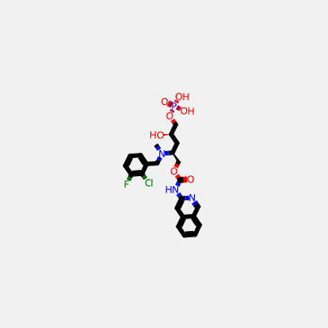 CN(Cc1cccc(F)c1Cl)[C@H](COC(=O)Nc1cc2ccccc2cn1)C[C@H](O)COP(=O)(O)O